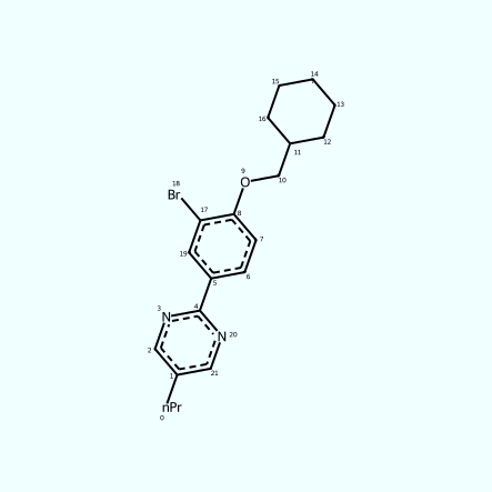 CCCc1cnc(-c2ccc(OCC3CC[CH]CC3)c(Br)c2)nc1